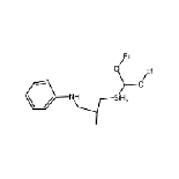 CCOC(OCC)[SiH2]CC(C)CNc1ccccc1